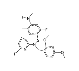 COc1ccc(CN(Sc2cc(C)c(N(C)F)cc2F)c2cccc(F)n2)c(OC)c1